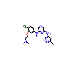 Cc1cc(Nc2cncc(Nc3ccc(Cl)c(OCCN(C)C)c3)n2)n[nH]1